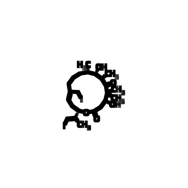 C/C(=C\I)[C@@H]1C/C=C(\CI)CCC[C@H](C)[C@H](O)[C@@H](C)C(=O)C(C)(C)[C@@H](O)CC(=O)O1